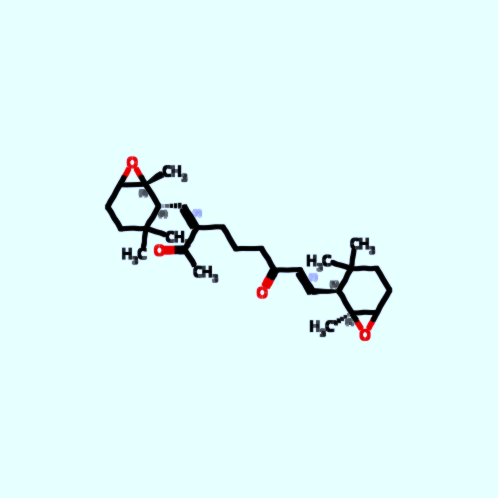 CC(=O)/C(=C\[C@@H]1C(C)(C)CCC2O[C@@]21C)CCCC(=O)/C=C/[C@H]1C(C)(C)CCC2O[C@]21C